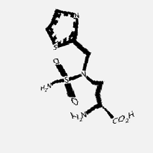 N[C@@H](CN(Cc1nccs1)S(N)(=O)=O)C(=O)O